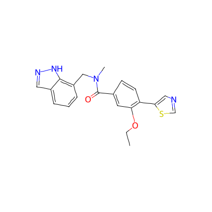 CCOc1cc(C(=O)N(C)Cc2cccc3cn[nH]c23)ccc1-c1cncs1